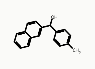 Cc1ccc(C(O)c2ccc3ccccc3c2)cc1